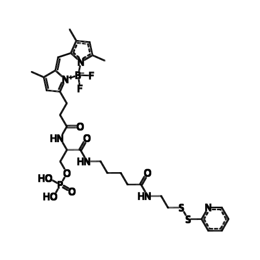 CC1=CC(CCC(=O)NC(COP(=O)(O)O)C(=O)NCCCCC(=O)NCCSSc2ccccn2)=[N+]2C1=Cc1c(C)cc(C)n1[B-]2(F)F